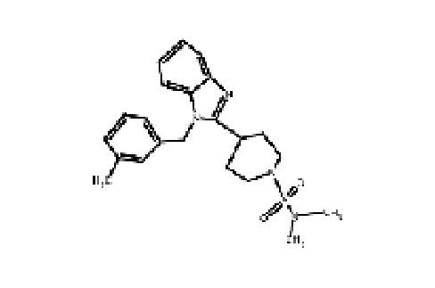 Cc1cccc(Cn2c(C3CCN(S(=O)(=O)N(C)C)CC3)nc3ccccc32)c1